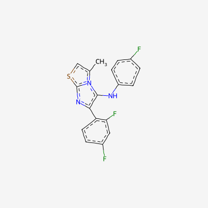 Cc1csc2nc(-c3ccc(F)cc3F)c(Nc3ccc(F)cc3)n12